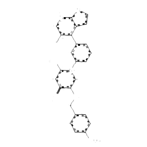 COc1ccc(COc2cn(-c3cccc(-c4c(Cl)cnc5[nH]ccc45)c3)c(C=O)cc2=O)cc1